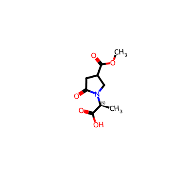 COC(=O)C1CC(=O)N([C@@H](C)C(=O)O)C1